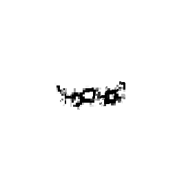 CCOC(=O)c1cc2c(cn1)CN(c1ccc(F)c(Cl)c1)CC2